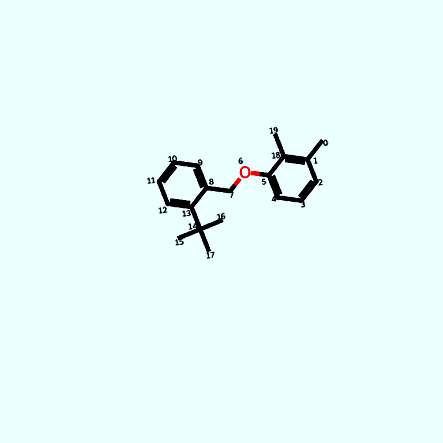 Cc1cccc(OCc2ccccc2C(C)(C)C)c1C